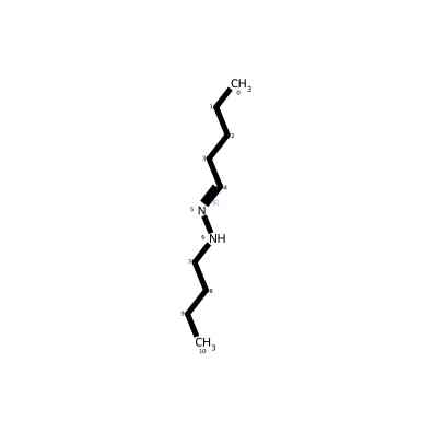 CCCC/C=N/NCCCC